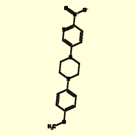 COc1ccc(N2CCN(c3ccc([N+](=O)[O-])nc3)CC2)cc1